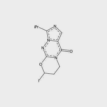 CC(C)c1ncc2c(=O)n3c(nn12)OC(I)CC3